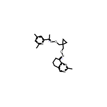 C/C(=N\OCC1(CO/N=C2\CCCc3cnc(C)nc32)CC1)c1cc(C)cc(C)n1